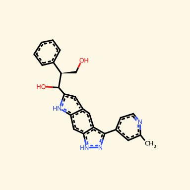 Cc1cc(-c2n[nH]c3cc4[nH]c(C(O)[C@H](CO)c5ccccc5)cc4cc23)ccn1